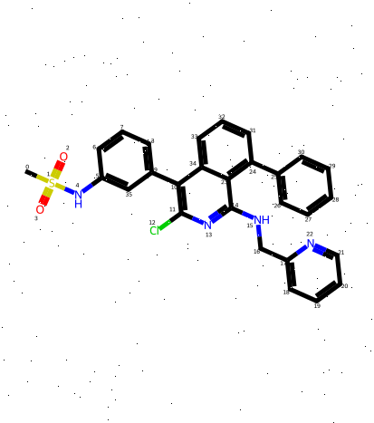 CS(=O)(=O)Nc1cccc(-c2c(Cl)nc(NCc3ccccn3)c3c(-c4ccccc4)cccc23)c1